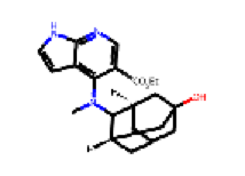 CCOC(=O)c1cnc2[nH]ccc2c1N(C)C1[C@@H]2CC3C[C@H]1CC(O)(C3)C2